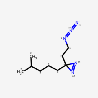 CC(C)CCCC1(CCN=[N+]=[N-])N=N1